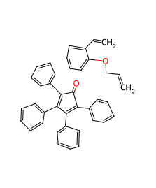 C=CCOc1ccccc1C=C.O=C1C(c2ccccc2)=C(c2ccccc2)C(c2ccccc2)=C1c1ccccc1